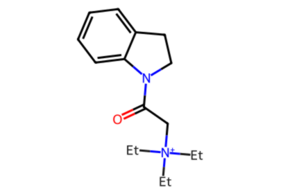 CC[N+](CC)(CC)CC(=O)N1CCc2ccccc21